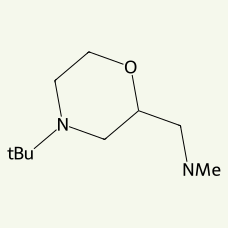 CNCC1CN(C(C)(C)C)CCO1